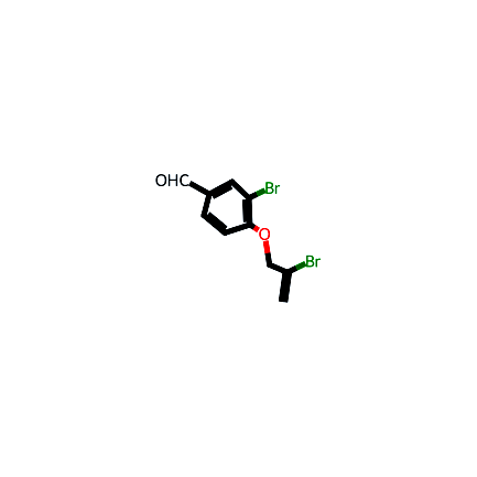 C=C(Br)COc1ccc(C=O)cc1Br